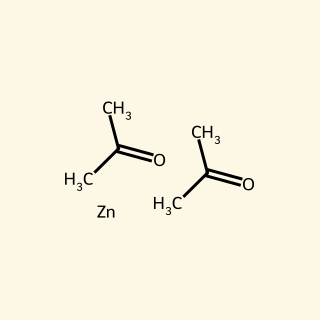 CC(C)=O.CC(C)=O.[Zn]